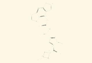 Cn1nc([S+]([O-])NC(=O)Nc2c3c(cc4c2CCC4)CCC3)cc1C(=O)N1CC(F)C1